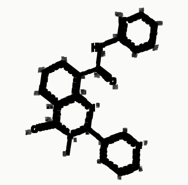 Cn1c(-c2cccnc2)nc2c(C(=O)Nc3ccccn3)cccc2c1=O